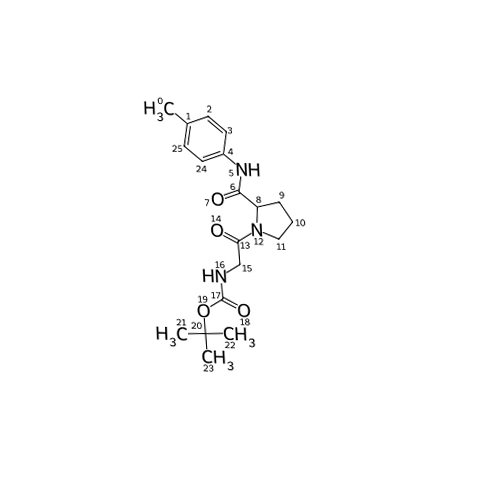 Cc1ccc(NC(=O)C2CCCN2C(=O)CNC(=O)OC(C)(C)C)cc1